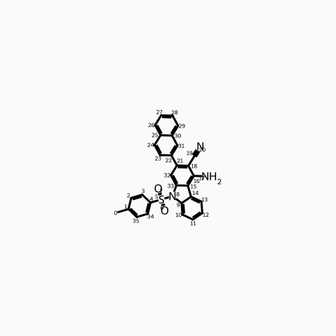 Cc1ccc(S(=O)(=O)n2c3ccccc3c3c(N)c(C#N)c(-c4ccc5ccccc5c4)cc32)cc1